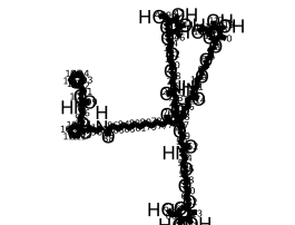 CC1C(OCCOCCOCCNC(=O)CCOCC(COCCC(=O)NCCOCCOCCOC2OC(CO)C(O)C(O)C2C)(COCCC(=O)NCCOCCOCCOC2OC(CO)C(O)C(O)C2C)CC(=O)CCCCCCCCCCC(=O)NCCOC2(OCCNC(=O)OCc3ccccc3)CCCC2)OC(CO)C(O)C1O